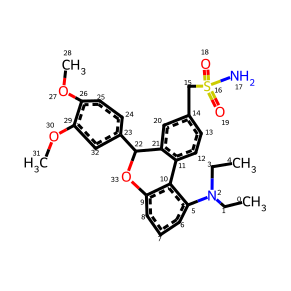 CCN(CC)c1cccc2c1-c1ccc(CS(N)(=O)=O)cc1C(c1ccc(OC)c(OC)c1)O2